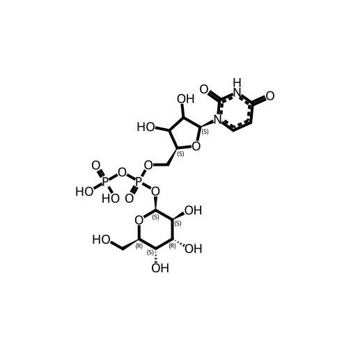 O=c1ccn([C@H]2O[C@@H](COP(=O)(O[C@@H]3O[C@H](CO)[C@@H](O)[C@@H](O)[C@@H]3O)OP(=O)(O)O)C(O)C2O)c(=O)[nH]1